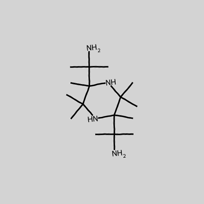 CC(C)(N)C1(C)NC(C)(C)C(C)(C(C)(C)N)NC1(C)C